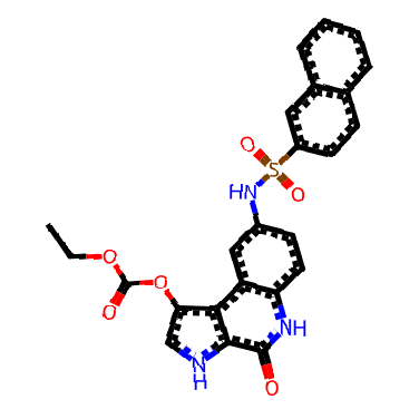 CCOC(=O)Oc1c[nH]c2c(=O)[nH]c3ccc(NS(=O)(=O)c4ccc5ccccc5c4)cc3c12